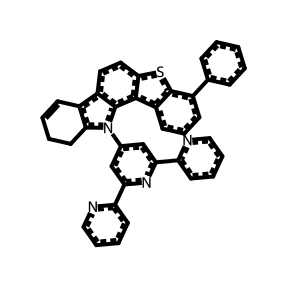 C1=Cc2c(n(-c3cc(-c4ccccn4)nc(-c4ccccn4)c3)c3c2ccc2sc4c(-c5ccccc5)cccc4c23)CC1